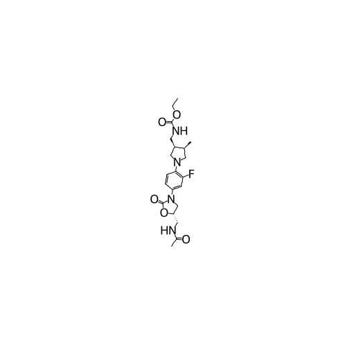 CCOC(=O)NC[C@@H]1CN(c2ccc(N3C[C@H](CNC(C)=O)OC3=O)cc2F)C[C@@H]1C